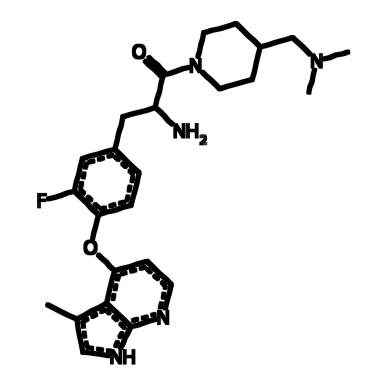 Cc1c[nH]c2nccc(Oc3ccc(CC(N)C(=O)N4CCC(CN(C)C)CC4)cc3F)c12